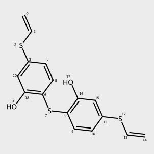 C=CSc1ccc(Sc2ccc(SC=C)cc2O)c(O)c1